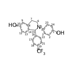 Oc1ccc(N2CCc3cc(O)ccc3C2c2ccc(C(F)(F)F)cc2)cc1